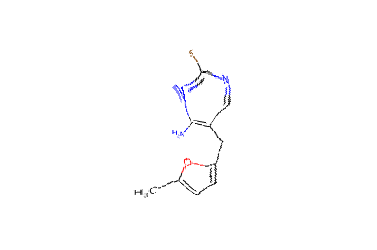 Cc1ccc(Cc2cnc([S])nc2N)o1